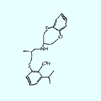 CC(C)c1cccc(SC[C@@H](C)CN[C@@H]2COc3ccccc3SC2)c1O